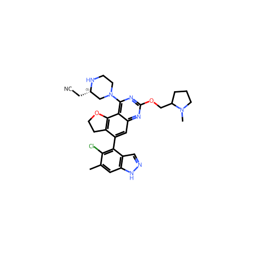 Cc1cc2[nH]ncc2c(-c2cc3nc(OCC4CCCN4C)nc(N4CCN[C@@H](CC#N)C4)c3c3c2CCO3)c1Cl